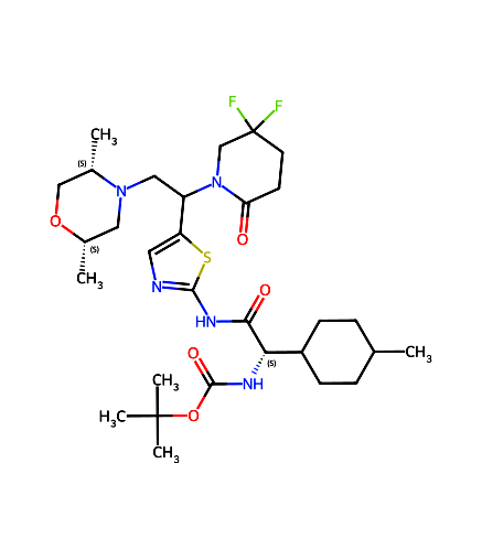 CC1CCC([C@H](NC(=O)OC(C)(C)C)C(=O)Nc2ncc(C(CN3C[C@H](C)OC[C@@H]3C)N3CC(F)(F)CCC3=O)s2)CC1